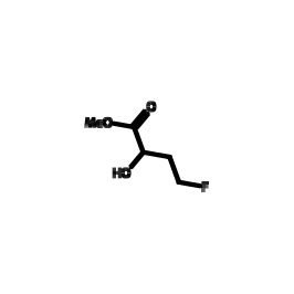 COC(=O)C(O)CCF